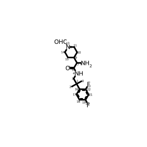 CC(C)(CNC(=O)C(N)C1CCN(C=O)CC1)c1ccc(F)cc1F